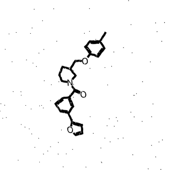 Cc1ccc(OCC2CCCN(C(=O)c3cccc(-c4ccco4)c3)C2)cc1